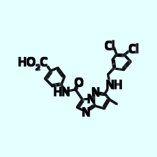 Cc1cc2ncc(C(=O)Nc3ccc(C(=O)O)cc3)n2nc1NCc1ccc(Cl)c(Cl)c1